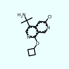 CC(C)(N)c1cnc(OC2CCC2)c2cnc(Cl)cc12